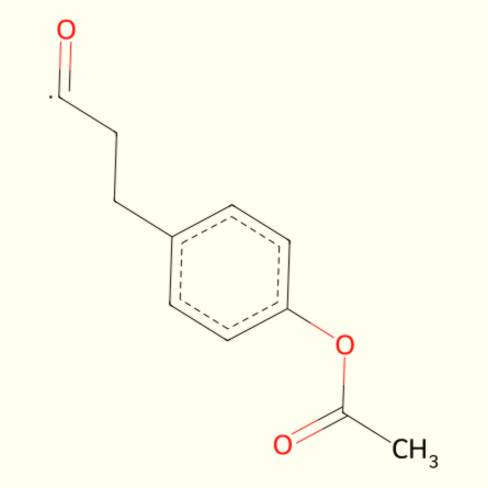 CC(=O)Oc1ccc(CC[C]=O)cc1